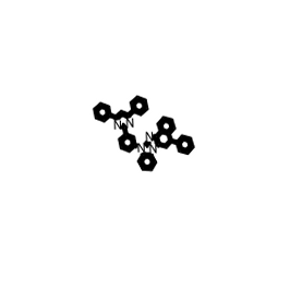 c1ccc(-c2cc(-c3ccccc3)nc(-c3cccc(-n4c5ccccc5n5c6c(nc45)-c4ccccc4C(c4ccccc4)C6)c3)n2)cc1